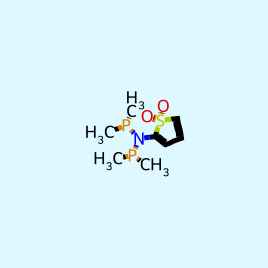 CP(C)N(C1=CC=CS1(=O)=O)P(C)C